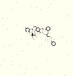 [2H]c1c([2H])c(C(=O)N2CCc3cc(C(=O)Nc4c(C)cccc4F)sc3-c3ccccc32)c([2H])c([2H])c1NC(=O)c1cc(C)cnc1N1CC2(CCOCC2)C1